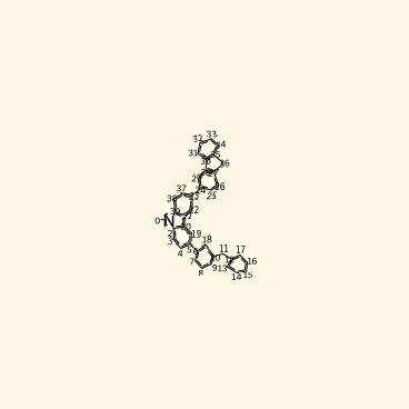 Cn1c2ccc(-c3cccc(Cc4ccccc4)c3)cc2c2cc(-c3ccc4c(c3)-c3ccccc3C4)ccc21